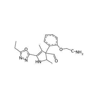 CCc1nnc(C2=C(C)C(C=O)(c3ccccc3OCCN)C(C)N2)o1